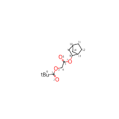 CC(C)(C)C(=O)OCC(=O)OC1CC2CCC1C2